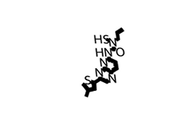 C=CCN(S)C(=O)Nc1ccc2ncc(-c3cc(C)cs3)nc2n1